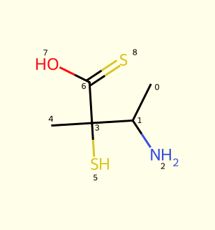 CC(N)C(C)(S)C(O)=S